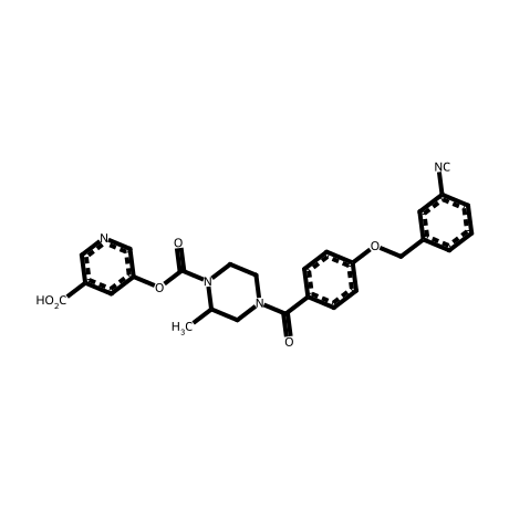 [C-]#[N+]c1cccc(COc2ccc(C(=O)N3CCN(C(=O)Oc4cncc(C(=O)O)c4)C(C)C3)cc2)c1